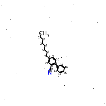 CCCCCCCCc1ccc(-c2ccccc2)c(C#N)c1